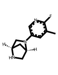 Cc1cc(N2C[C@H]3C[C@@H]2CN3)cnc1F